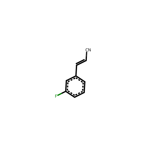 N#CC=Cc1cccc(F)c1